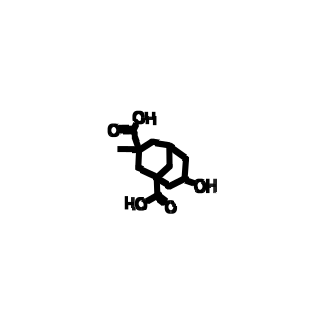 CC1(C(=O)O)CC2CC(O)CC(C(=O)O)(C2)C1